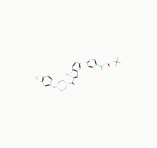 CC(NC(=O)OC(C)(C)C)c1ccc(Oc2ccc3c(c2)cc(C(=O)N2CCN(Cc4ccc5c(c4)OCO5)CC2)n3C)nc1